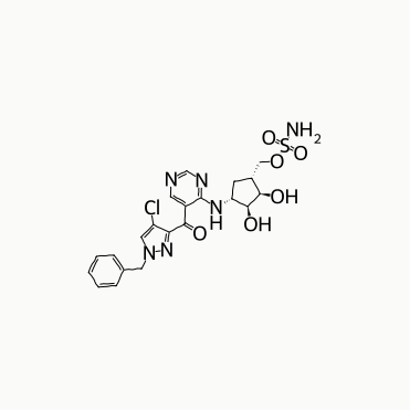 NS(=O)(=O)OC[C@H]1C[C@@H](Nc2ncncc2C(=O)c2nn(Cc3ccccc3)cc2Cl)[C@H](O)[C@@H]1O